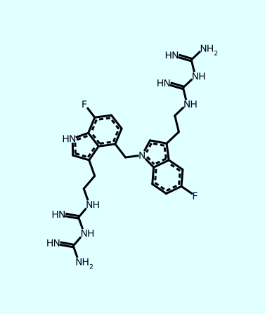 N=C(N)NC(=N)NCCc1cn(Cc2ccc(F)c3[nH]cc(CCNC(=N)NC(=N)N)c23)c2ccc(F)cc12